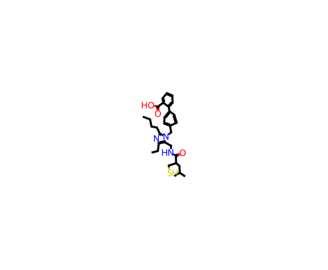 CCCCc1nc(CC)c(CNC(=O)C(CS)CC(C)C)n1Cc1ccc(-c2ccccc2C(=O)O)cc1